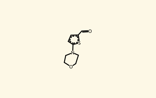 O=Cc1ccc(N2CCOCC2)s1